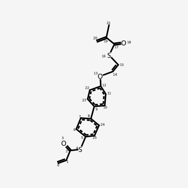 C=CC(=O)Sc1ccc(-c2ccc(O/C=C\SC(=O)C(=C)C)cc2)cc1